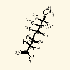 OC(=S)C(F)(F)C(F)(F)C(F)(F)C(F)(F)C(F)(F)C(F)(F)F